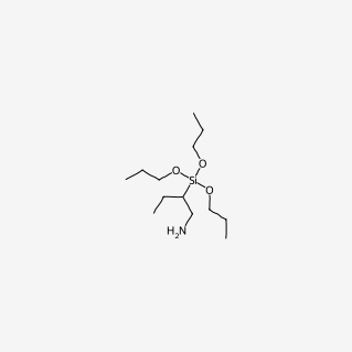 CCCO[Si](OCCC)(OCCC)C(CC)CN